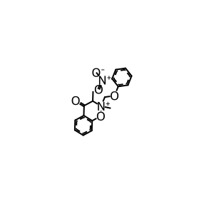 CC1C(=O)c2ccccc2O[N+]1(C)COc1ccccc1[N+](=O)[O-]